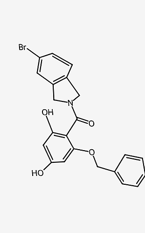 O=C(c1c(O)cc(O)cc1OCc1ccccc1)N1Cc2ccc(Br)cc2C1